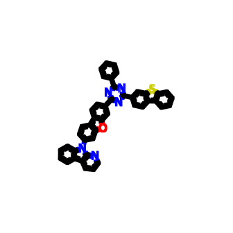 c1ccc(-c2nc(-c3ccc4c(c3)oc3cc(-n5c6ccccc6c6cccnc65)ccc34)nc(-c3ccc4c(c3)sc3ccccc34)n2)cc1